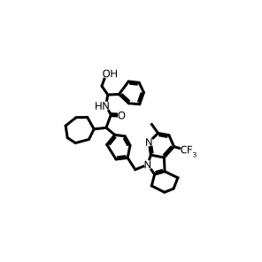 Cc1cc(C(F)(F)F)c2c3c(n(Cc4ccc(C(C(=O)NC(CO)c5ccccc5)C5CCCCCC5)cc4)c2n1)CCCC3